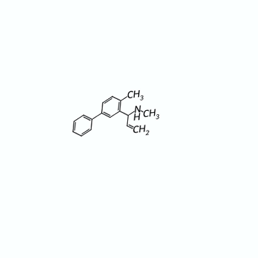 C=CC(NC)c1cc(-c2ccccc2)ccc1C